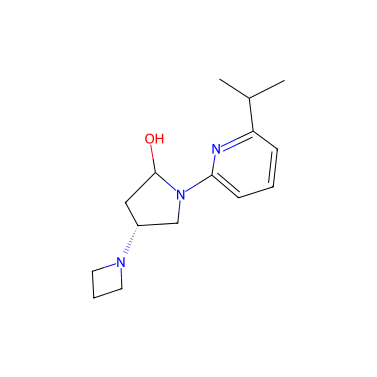 CC(C)c1cccc(N2C[C@H](N3CCC3)CC2O)n1